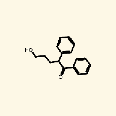 O=C(c1ccccc1)C(CCCO)c1ccccc1